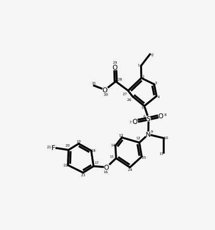 CCc1ccc(S(=O)(=O)N(CC)c2ccc(Oc3ccc(F)cc3)cc2)cc1C(=O)OC